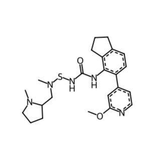 COc1cc(-c2ccc3c(c2NC(=O)NSN(C)CC2CCCN2C)CCC3)ccn1